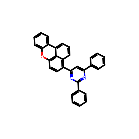 c1ccc(-c2cc(-c3ccc4c5c(cccc35)-c3ccccc3O4)nc(-c3ccccc3)n2)cc1